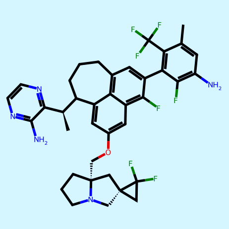 Cc1cc(N)c(F)c(-c2cc3c4c(cc(OC[C@@]56CCCN5C[C@]5(CC5(F)F)C6)cc4c2F)C([C@@H](C)c2nccnc2N)CCC3)c1C(F)(F)F